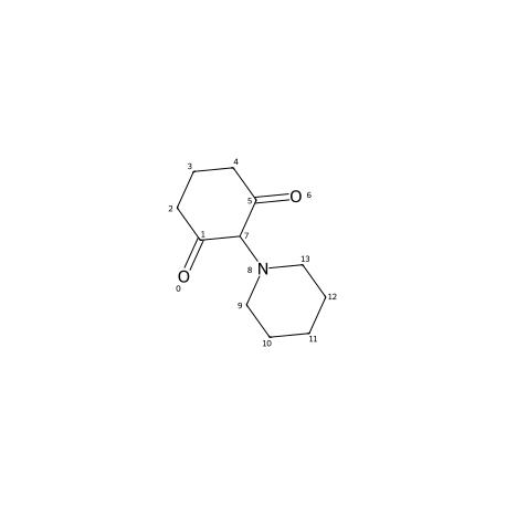 O=C1CCCC(=O)C1N1CCCCC1